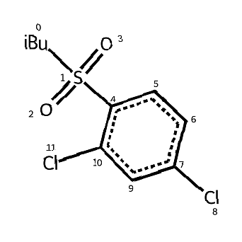 CCC(C)S(=O)(=O)c1ccc(Cl)cc1Cl